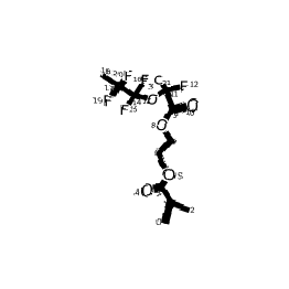 C=C(C)C(=O)OCCOC(=O)C(F)(OC(F)(F)C(C)(F)F)C(F)(F)F